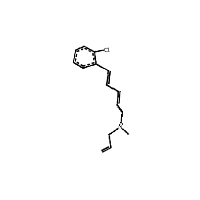 C=CCN(C)CC=CC=Cc1ccccc1Cl